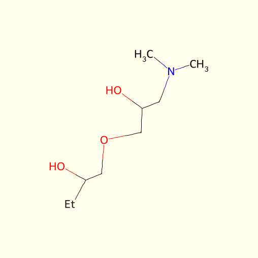 CCC(O)COCC(O)CN(C)C